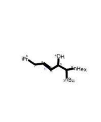 CCCCCCC(CCCC)C(O)/C=C/CC(C)C